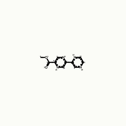 COC(=O)c1cnc(-c2cnccn2)cn1